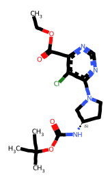 CCOC(=O)c1ncnc(N2CC[C@H](NC(=O)OC(C)(C)C)C2)c1Cl